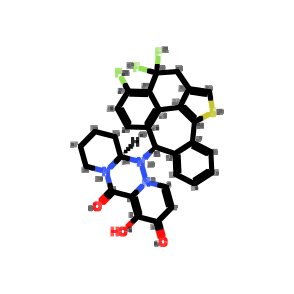 O=C1c2c(O)c(=O)ccn2N([C@@H]2c3ccccc3-c3scc4c3-c3c2ccc(F)c3C(F)(F)C4)[C@@H]2CCCCN12